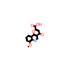 COc1cccc2c1ncc1c(=O)cc(C(=O)O)oc12